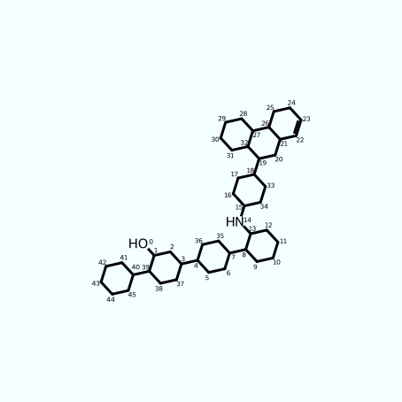 OC1CC(C2CCC(C3CCCCC3NC3CCC(C4CC5C=CCCC5C5CCCCC45)CC3)CC2)CCC1C1CCCCC1